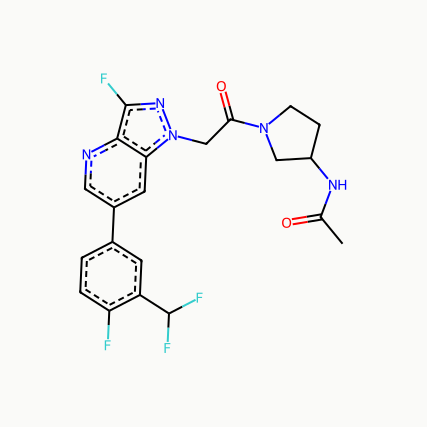 CC(=O)NC1CCN(C(=O)Cn2nc(F)c3ncc(-c4ccc(F)c(C(F)F)c4)cc32)C1